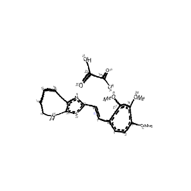 COc1ccc(/C=C/c2nc3c(s2)NCCCC3)c(OC)c1OC.O=C(O)C(=O)O